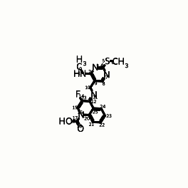 CNc1nc(SC)ncc1C/N=c1\c(F)cn(C(=O)O)c2ccccc12